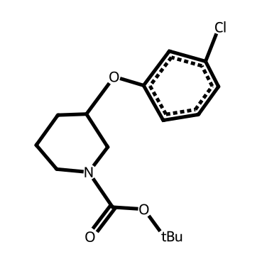 CC(C)(C)OC(=O)N1CCCC(Oc2cccc(Cl)c2)C1